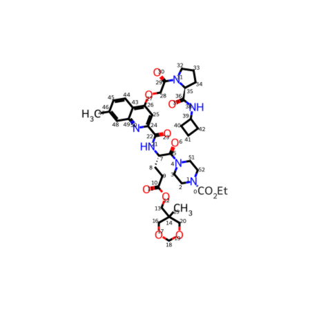 CCOC(=O)N1CCN(C(=O)[C@H](CCC(=O)OCC2(C)COCOC2)NC(=O)c2cc(OCC(=O)N3CCC[C@H]3C(=O)NC3CCC3)c3ccc(C)cc3n2)CC1